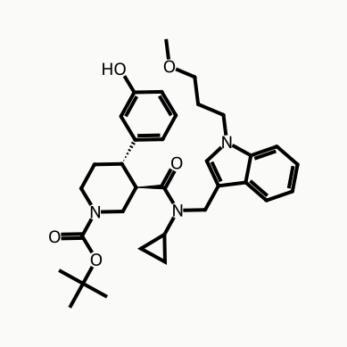 COCCCn1cc(CN(C(=O)[C@H]2CN(C(=O)OC(C)(C)C)CC[C@@H]2c2cccc(O)c2)C2CC2)c2ccccc21